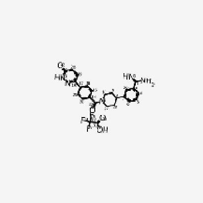 N=C(N)c1cccc(C2CCN(C(=O)c3ccc(-c4ccc(=O)[nH]n4)cc3)CC2)c1.O=C(O)C(F)(F)F